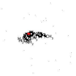 CCOc1ccc(C(=O)Nc2ccc(F)c([C@@]3(C)N=C(N)C(C)(C)[S@@]4(=O)=NCC[C@@H]34)c2)nc1